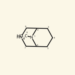 O=C(O)N1C2CCCC1CNC2